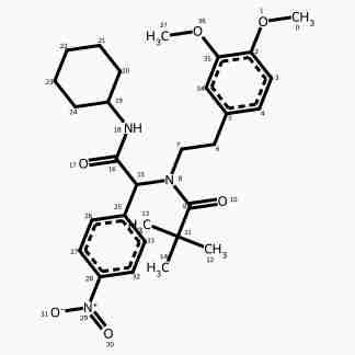 COc1ccc(CCN(C(=O)C(C)(C)C)C(C(=O)NC2CCCCC2)c2ccc([N+](=O)[O-])cc2)cc1OC